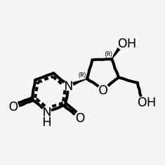 O=c1ccn([C@H]2C[C@@H](O)C(CO)O2)c(=O)[nH]1